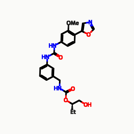 CC[C@H](CO)OC(=O)NCc1cccc(NC(=O)Nc2ccc(-c3cnco3)c(OC)c2)c1